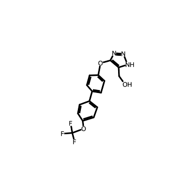 OCc1[nH]nnc1Oc1ccc(-c2ccc(OC(F)(F)F)cc2)cc1